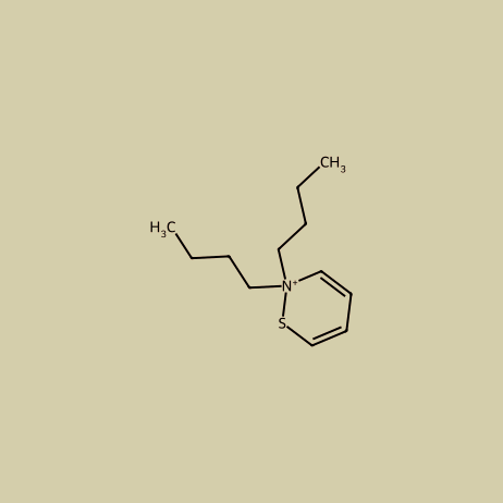 CCCC[N+]1(CCCC)C=CC=CS1